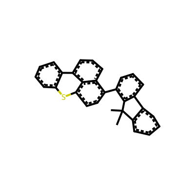 CC1(C)c2ccccc2-c2cccc(-c3ccc4c5c(cccc35)-c3ccccc3S4)c21